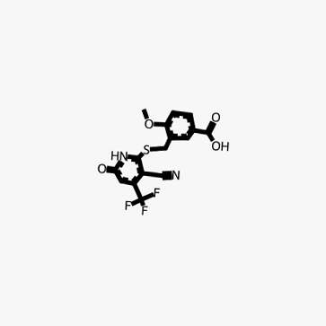 COc1ccc(C(=O)O)cc1CSc1[nH]c(=O)cc(C(F)(F)F)c1C#N